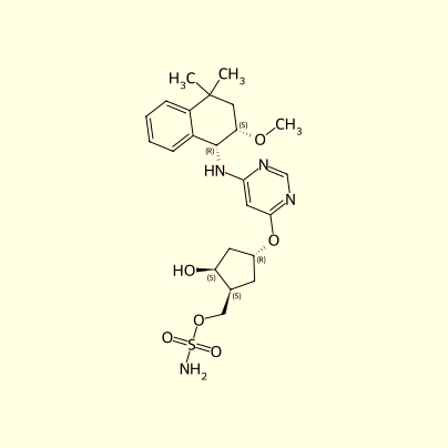 CO[C@H]1CC(C)(C)c2ccccc2[C@H]1Nc1cc(O[C@@H]2C[C@@H](COS(N)(=O)=O)[C@@H](O)C2)ncn1